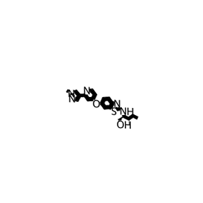 CC[C@H](C)[C@@H](CO)Nc1nc2ccc(Oc3ccnc(-c4cnn(C)c4)c3)cc2s1